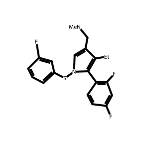 CCc1c(CNC)cn(Sc2cccc(F)c2)c1-c1ccc(F)cc1F